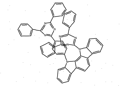 c1ccc(-c2nc(-c3ccccc3)nc(-c3ccc(-n4c5ccccc5c5ccc6c7ccccc7n(-c7nc(-c8ccccc8)nc(-c8ccccc8)n7)c6c54)cc3)n2)cc1